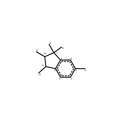 Cc1ccc2c(c1)C(C)(C)C(C)C2C